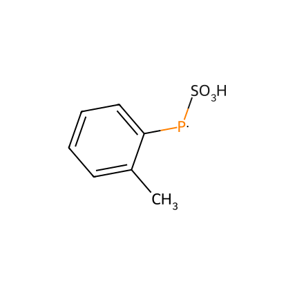 Cc1ccccc1[P]S(=O)(=O)O